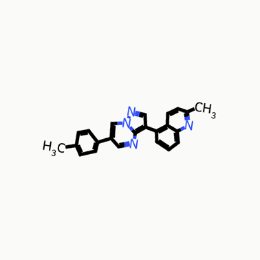 Cc1ccc(-c2cnc3c(-c4cccc5nc(C)ccc45)cnn3c2)cc1